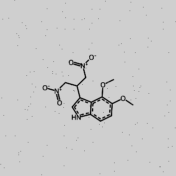 COc1ccc2[nH]cc(C(C[N+](=O)[O-])C[N+](=O)[O-])c2c1OC